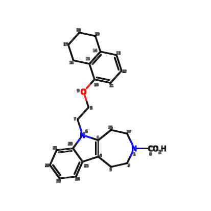 O=C(O)N1CCc2c(n(CCOc3cccc4c3CCCC4)c3ccccc23)CC1